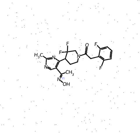 C/C(=N\O)c1cnc(C)nc1C1CCN(C(=O)Cc2c(F)cccc2F)CC1(F)F